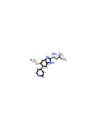 COc1cc2nc([C@H](N)CC(C)C)[nH]c2cc1-c1ccncc1